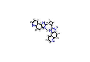 Cn1c(C2CCC2c2nc3c4cccnc4ccc3n2C)nc2c3cccnc3ccc21